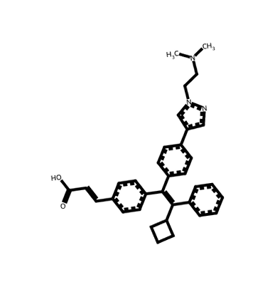 CN(C)CCn1cc(-c2ccc(C(=C(c3ccccc3)C3CCC3)c3ccc(C=CC(=O)O)cc3)cc2)cn1